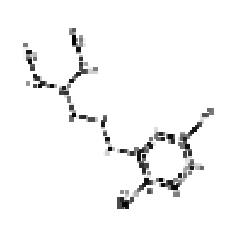 CCOC(CCCc1cc(F)ccc1Br)OCC